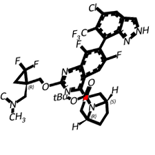 CN(C)C[C@@]1(COc2nc(N3C[C@H]4CC[C@@H](C3)N4C(=O)OC(C)(C)C)c3cc(F)c(-c4c(C(F)(F)F)c(Cl)cc5c[nH]nc45)c(F)c3n2)CC1(F)F